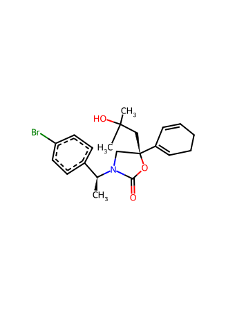 C[C@@H](c1ccc(Br)cc1)N1C[C@](CC(C)(C)O)(C2=CCCC=C2)OC1=O